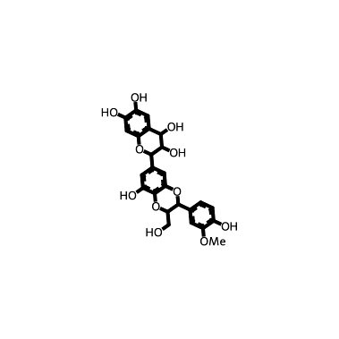 COc1cc(C2Oc3cc(C4Oc5cc(O)c(O)cc5C(O)C4O)cc(O)c3OC2CO)ccc1O